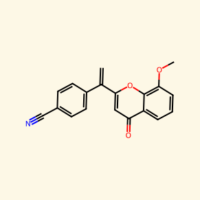 C=C(c1ccc(C#N)cc1)c1cc(=O)c2cccc(OC)c2o1